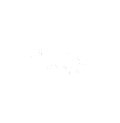 Cc1cc2c(N3CCN(C(=O)/C=C/CN(C)C)CC3)ncnc2c(=O)n1-c1c(O)cccc1F